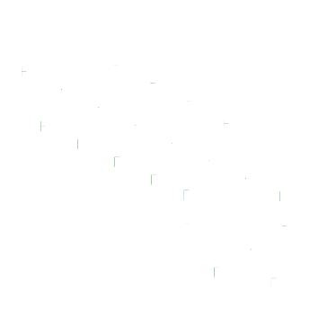 F[C](C(F)(F)F)C(F)(C1C[CH]CC1)C(F)(F)C(F)(F)C(F)(F)C(F)(F)C(F)(F)F